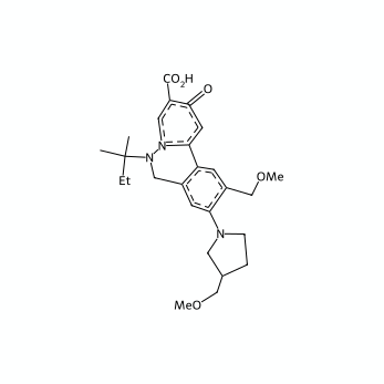 CCC(C)(C)N1Cc2cc(N3CCC(COC)C3)c(COC)cc2-c2cc(=O)c(C(=O)O)cn21